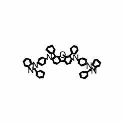 c1ccc(-c2nc3ccccc3n2-c2ccc(-n3c4ccccc4c4c5oc6c(ccc7c6c6ccccc6n7-c6ccc(-n7c(-c8ccccc8)nc8ccccc87)cc6)c5ccc43)cc2)cc1